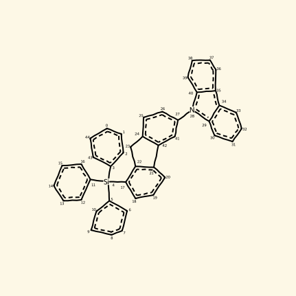 c1ccc([Si](c2ccccc2)(c2ccccc2)c2cccc3c2Cc2ccc(-n4c5ccccc5c5ccccc54)cc2-3)cc1